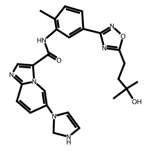 Cc1ccc(-c2noc(CCC(C)(C)O)n2)cc1NC(=O)c1cnc2ccc(N3C=CNC3)cn12